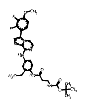 CCc1cc(Nc2nccn3c(-c4ccc(OC)c(F)c4F)cnc23)ccc1NC(=O)CCNC(=O)OC(C)(C)C